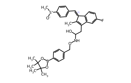 CC1=C(CC(O)NOCc2ccc(B3OC(C)(C)C(C)(C)O3)cc2)c2cc(F)ccc2/C1=C/c1ccc([S+](C)[O-])cc1